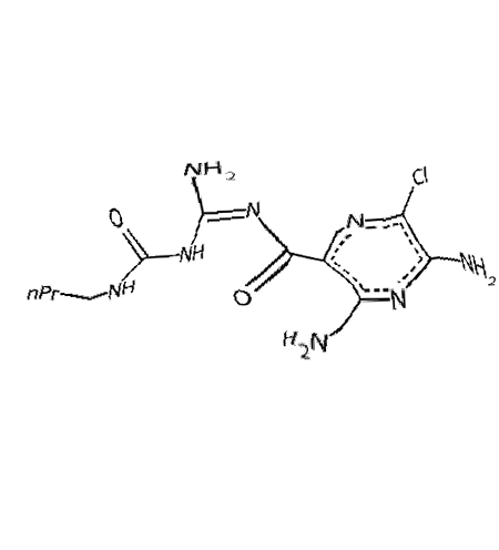 CCCNC(=O)N/C(N)=N\C(=O)c1nc(Cl)c(N)nc1N